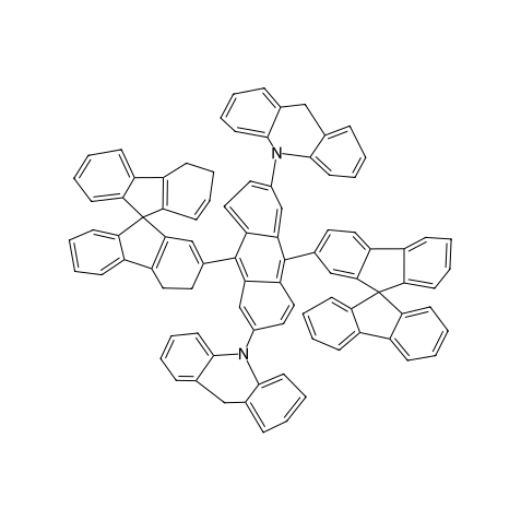 C1=CC2=C(CC1)c1ccccc1C21C2=C(CCC(c3c4cc(N5c6ccccc6Cc6ccccc65)ccc4c(-c4ccc5c(c4)C4(c6ccccc6-c6ccccc64)c4ccccc4-5)c4cc(N5c6ccccc6Cc6ccccc65)ccc34)=C2)c2ccccc21